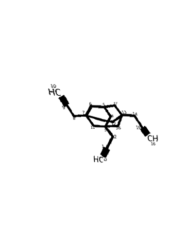 C#CCC12CC3CC(CC#C)(C1)CC(CC#C)(C3)C2